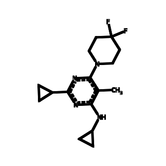 Cc1c(NC2CC2)nc(C2CC2)nc1N1CCC(F)(F)CC1